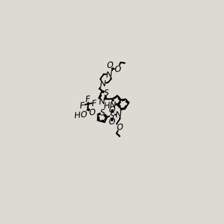 CCOCCN(c1cccc2cc(-c3ncc(CN4CCN(C(=O)OCC)CC4)s3)[nH]c12)S(=O)(=O)c1cccs1.O=C(O)C(F)(F)F